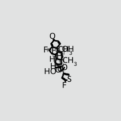 C[C@]12C=CC(=O)C=C1[C@@H](F)C[C@H]1[C@@H]3C[C@H]4O[C@@H](c5csc(F)c5)O[C@@]4(C(=O)CO)[C@@]3(C)C[C@H](O)[C@@]12F